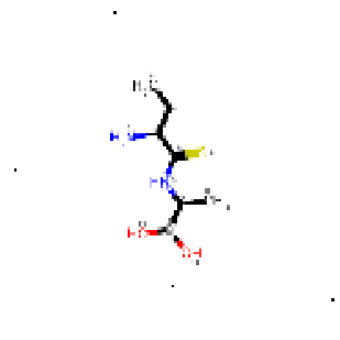 CC[C@H](N)C(=S)N[C@@H](C)B(O)O